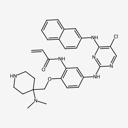 C=CC(=O)Nc1cc(Nc2ncc(Cl)c(Nc3ccc4ccccc4c3)n2)ccc1OCC1(N(C)C)CCNCC1